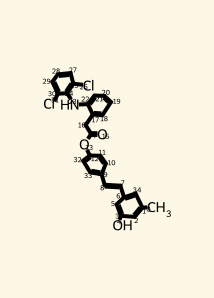 Cc1cc(O)cc(/C=C/c2ccc(OC(=O)Cc3ccccc3Nc3c(Cl)cccc3Cl)cc2)c1